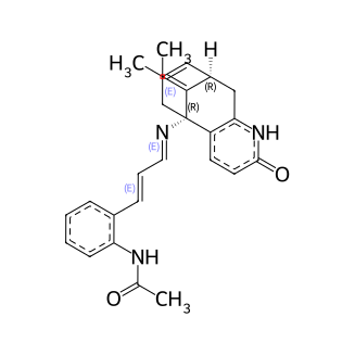 C/C=C1\[C@H]2C=C(C)C[C@]1(/N=C/C=C/c1ccccc1NC(C)=O)c1ccc(=O)[nH]c1C2